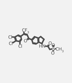 CS(=O)(=O)CC(=O)NC1CCc2cc(C(=O)C=C(c3cc(Cl)c(Cl)c(Cl)c3)C(F)(F)F)ccc21